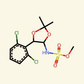 COS(=O)(=O)NC1OC(C)(C)OC1c1c(Cl)cccc1Cl